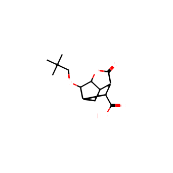 CC(C)(C)COC1C2CC3C1OC(=O)C3C2C(=O)O